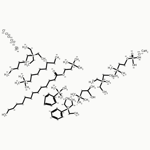 CC(O)C[N+](C)(C)C.CCCCCCCCCCCCCC(=O)OCC[N+](C)(C)C.CCCCCCCC[N+](C)(C)C.CC[N+](C)(CC)CC.CC[N+](CC)(CC)COCCOC.CC[N+](CC)(CC)c1ccccc1.C[N+](C)(C)CCOP(=O)(O)O.C[N+](C)(C)c1ccccc1.[CaH2].[Cl-].[Cl-].[Cl-].[Cl-].[Cl-].[Cl-].[Cl-].[Cl-]